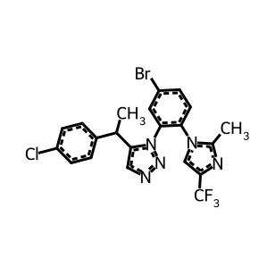 Cc1nc(C(F)(F)F)cn1-c1ccc(Br)cc1-n1nncc1C(C)c1ccc(Cl)cc1